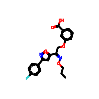 CCCON=C(COc1cccc(C(=O)O)c1)c1cc(-c2ccc(F)cc2)no1